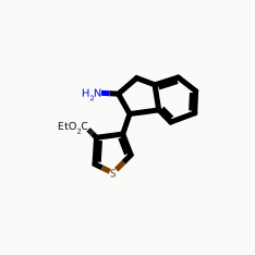 CCOC(=O)c1cscc1C1c2ccccc2CC1N